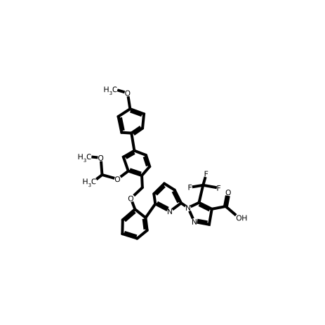 COc1ccc(-c2ccc(COc3ccccc3-c3cccc(-n4ncc(C(=O)O)c4C(F)(F)F)n3)c(OC(C)OC)c2)cc1